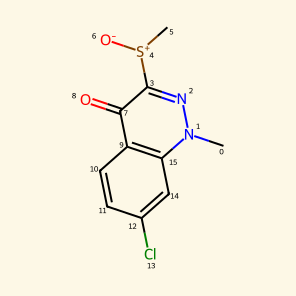 Cn1nc([S+](C)[O-])c(=O)c2ccc(Cl)cc21